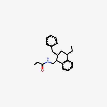 CCC(=O)NCC1c2ccccc2C(CC)CC1Cc1ccccc1